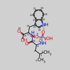 CC(C)CC(NP(=O)(O)O)C(=O)NC(Cc1c[nH]c2ccccc12)C(=O)O